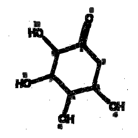 O=C1CC(O)C(O)C(O)C1O